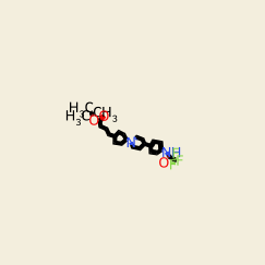 CC(C)(C)OC(=O)CCCC1CCC(N2CCC(c3ccc(NC(=O)C(F)(F)F)cc3)CC2)CC1